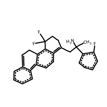 CC(N)(CC1=c2ccc3c(c2C(F)(F)CC1)CC=c1ccccc1=3)c1ccccc1F